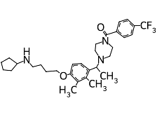 Cc1c(OCCCCNC2CCCC2)ccc(C(C)N2CCN(C(=O)c3ccc(C(F)(F)F)cc3)CC2)c1C